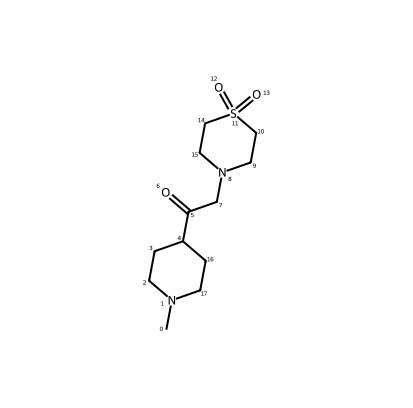 CN1CCC(C(=O)CN2CCS(=O)(=O)CC2)CC1